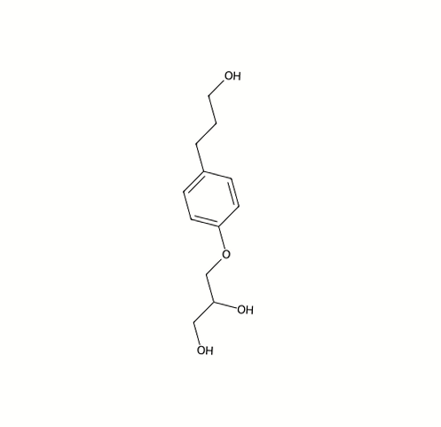 OCCCc1ccc(OCC(O)CO)cc1